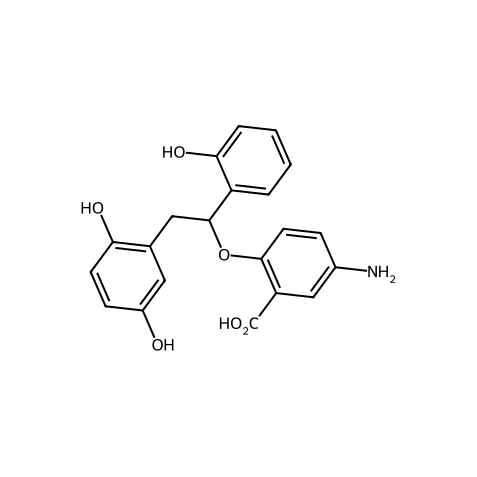 Nc1ccc(OC(Cc2cc(O)ccc2O)c2ccccc2O)c(C(=O)O)c1